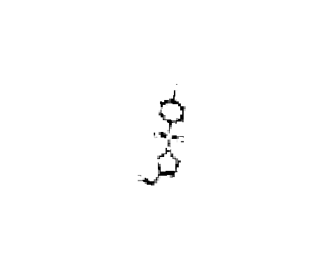 O=CC1=CCN(S(=O)(=O)c2ccc(F)cc2)C1